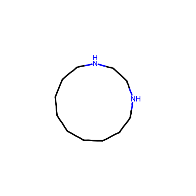 C1CCCCNCCNCCCC1